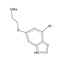 COCCOc1cc(C(C)C)c2cc[nH]c2c1